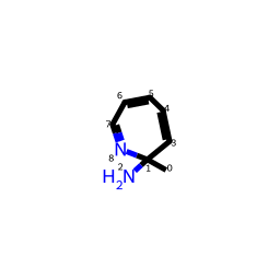 CC1(N)C=CC=CC=N1